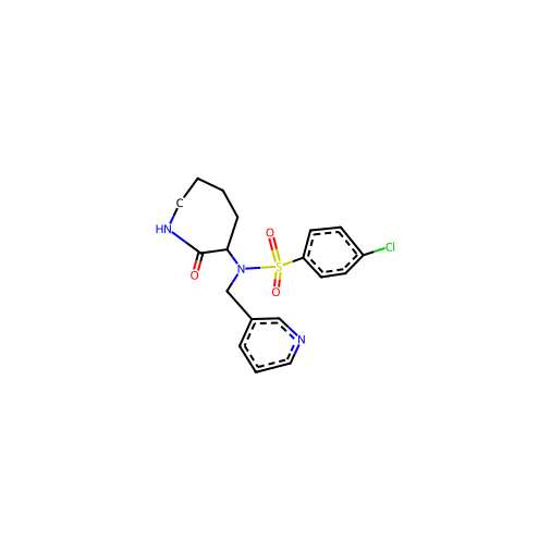 O=C1NCCCCC1N(Cc1cccnc1)S(=O)(=O)c1ccc(Cl)cc1